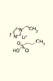 C=Cn1ccnc1.CCCS(=O)(=O)O.[I-].[Li+]